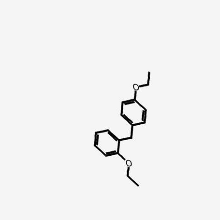 CCOc1ccc(Cc2ccccc2OCC)cc1